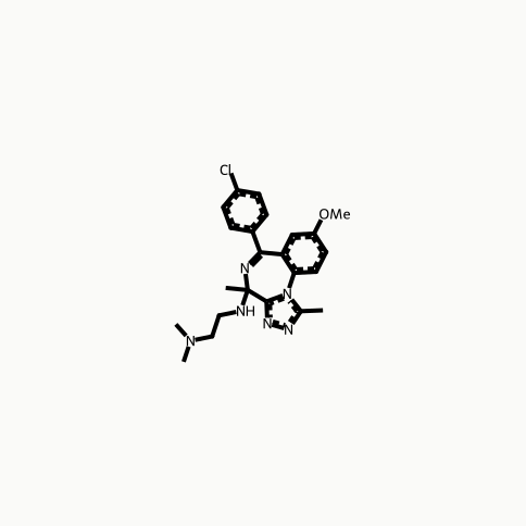 COc1ccc2c(c1)C(c1ccc(Cl)cc1)=NC(C)(NCCN(C)C)c1nnc(C)n1-2